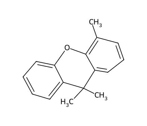 Cc1cccc2c1Oc1ccccc1C2(C)C